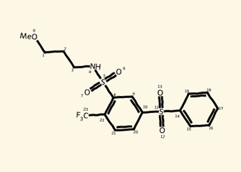 COCCCNS(=O)(=O)c1cc(S(=O)(=O)c2ccccc2)ccc1C(F)(F)F